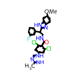 COc1ccc2nc(C(CNC(=O)c3c(Cl)cc(N/C=N\C(C)=N)cc3Cl)c3cccc(F)c3)[nH]c2c1